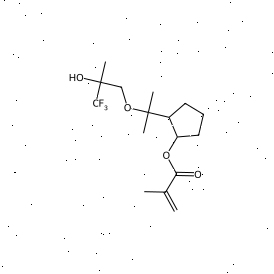 C=C(C)C(=O)OC1CCCC1C(C)(C)OCC(C)(O)C(F)(F)F